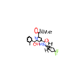 CNC(=O)c1cc(C(=O)N[C@H]2[C@@H]3CC(F)(F)C[C@@H]32)cc(C(O)c2ccccc2C)n1